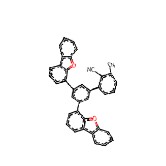 N#Cc1cccc(-c2cc(-c3cccc4c3oc3ccccc34)cc(-c3cccc4c3oc3ccccc34)c2)c1C#N